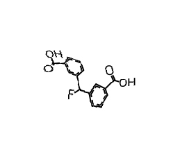 O=C(O)c1cccc(C(F)c2cccc(C(=O)O)c2)c1